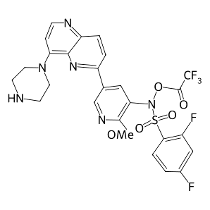 COc1ncc(-c2ccc3nccc(N4CCNCC4)c3n2)cc1N(OC(=O)C(F)(F)F)S(=O)(=O)c1ccc(F)cc1F